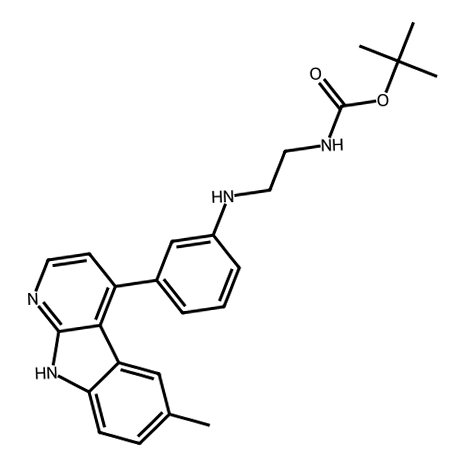 Cc1ccc2[nH]c3nccc(-c4cccc(NCCNC(=O)OC(C)(C)C)c4)c3c2c1